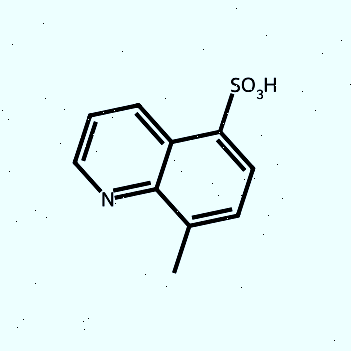 Cc1ccc(S(=O)(=O)O)c2cccnc12